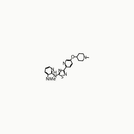 CNc1cccnc1Nc1nc(-c2ccc(OC3CCN(C)CC3)cn2)ns1